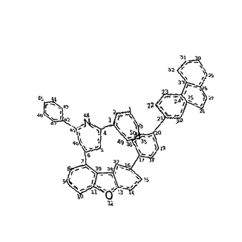 c1ccc(-c2cc(-c3cccc4oc5ccc(-c6ccc(-c7ccc8c(ccc9ccccc98)c7)cc6)cc5c34)cc(-c3ccccc3)n2)cc1